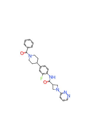 O=C(Nc1ccc(C2CCN(C(=O)c3ccccc3)CC2)cc1F)C1CN(c2cccnn2)C1